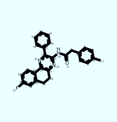 O=C(Cc1ccc(I)cc1)Nc1nc2c(nc1-c1ccccc1)-c1ccc(F)cc1CC2